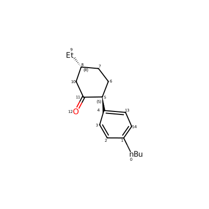 CCCCc1ccc([C@@H]2CC[C@@H](CC)CC2=O)cc1